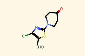 O=Cc1sc(N2CCC(=O)CC2)nc1Cl